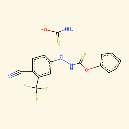 N#Cc1ccc(NNC(=S)Oc2ccccc2)cc1C(F)(F)F.NC(O)=S